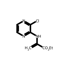 C=C(Nc1nccnc1Cl)C(=O)OCC